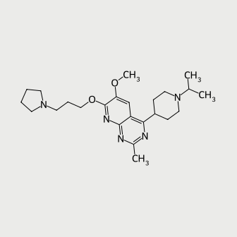 COc1cc2c(C3CCN(C(C)C)CC3)nc(C)nc2nc1OCCCN1CCCC1